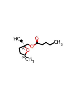 C#C[C@@]1(COC(=O)CCCC)CC[C@H](C)O1